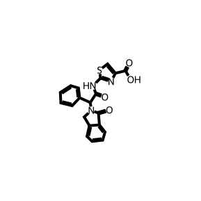 O=C(O)c1csc(NC(=O)C(c2ccccc2)N2Cc3ccccc3C2=O)n1